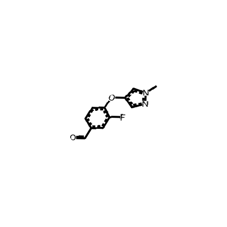 Cn1cc(Oc2ccc(C=O)cc2F)cn1